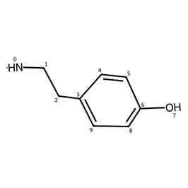 [NH]CCc1ccc(O)cc1